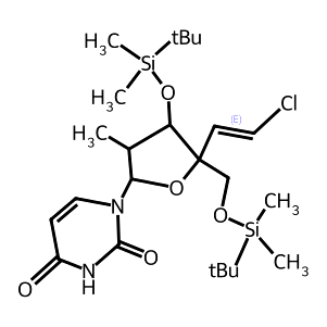 CC1C(n2ccc(=O)[nH]c2=O)OC(/C=C/Cl)(CO[Si](C)(C)C(C)(C)C)C1O[Si](C)(C)C(C)(C)C